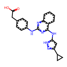 O=C(O)Cc1ccc(Nc2nc(Nc3cc(C4CC4)n[nH]3)c3ccccc3n2)cc1